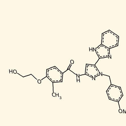 COc1ccc(Cn2nc(NC(=O)c3ccc(OCCO)c(C)c3)cc2-c2nc3ccccc3[nH]2)cc1